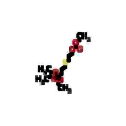 CCOC(=O)OCCCSCCC[Si](OCC)(OCC)OCC